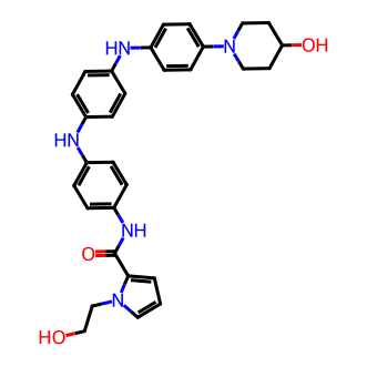 O=C(Nc1ccc(Nc2ccc(Nc3ccc(N4CCC(O)CC4)cc3)cc2)cc1)c1cccn1CCO